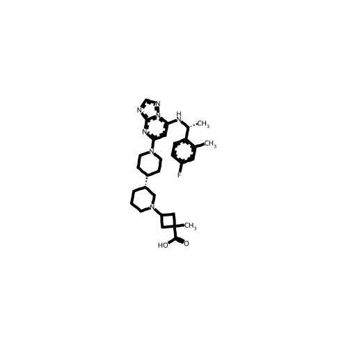 Cc1cc(F)ccc1[C@@H](C)Nc1cc(N2CCC([C@H]3CCCN(C4CC(C)(C(=O)O)C4)C3)CC2)nc2ncnn12